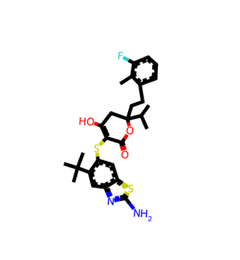 Cc1c(F)cccc1CCC1(C(C)C)CC(O)=C(Sc2cc3sc(N)nc3cc2C(C)(C)C)C(=O)O1